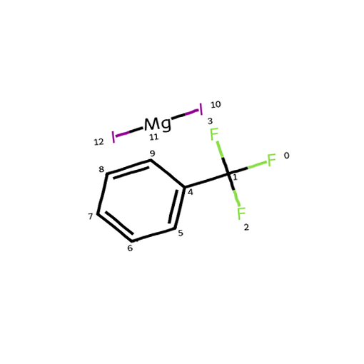 FC(F)(F)c1c[c]ccc1.[I][Mg][I]